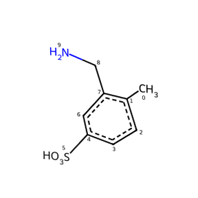 Cc1ccc(S(=O)(=O)O)cc1CN